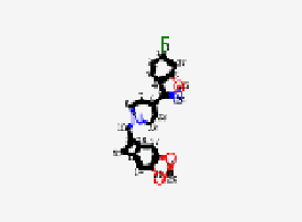 Fc1ccc2c(C3CCN(CC4=Cc5cc6c(cc54)OCO6)CC3)noc2c1